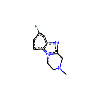 CN1CCn2c(nc3cc(F)ccc32)C1